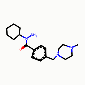 CN1CCN(Cc2ccc(C(=O)N(N)C3CCCCC3)cc2)CC1